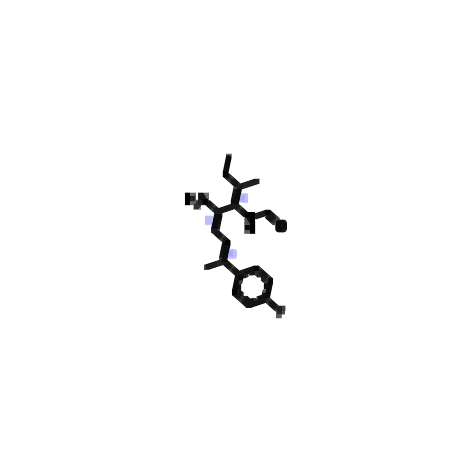 CC\C(C)=C(NC=O)/C(N)=C\C=C(/C)c1ccc(F)cc1